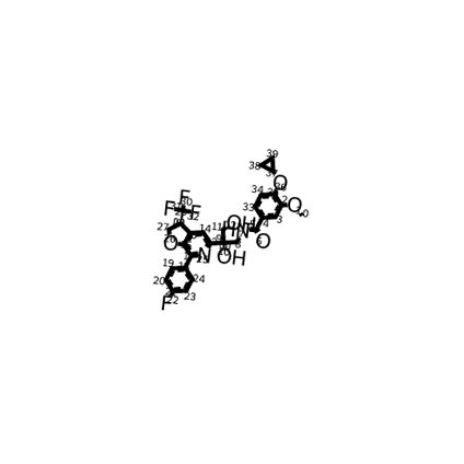 COc1cc(C(=O)NC[C@@](O)(CO)c2cc3c(c(-c4ccc(F)cc4)n2)OC[C@H]3C(F)(F)F)ccc1OC1CC1